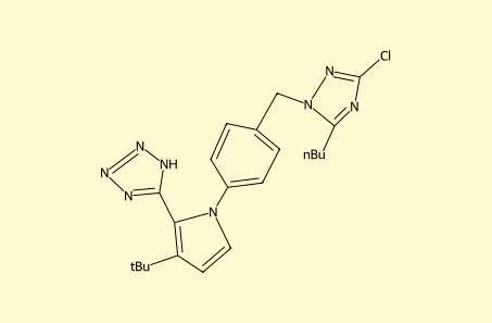 CCCCc1nc(Cl)nn1Cc1ccc(-n2ccc(C(C)(C)C)c2-c2nnn[nH]2)cc1